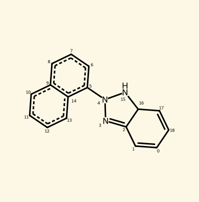 C1=CC2=NN(c3cccc4ccccc34)NC2C=C1